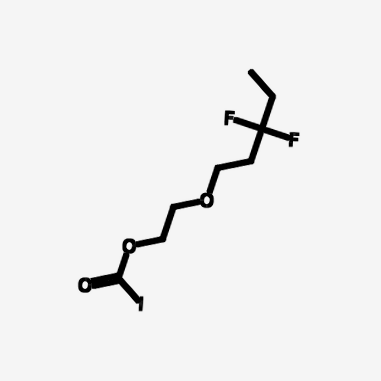 CCC(F)(F)CCOCCOC(=O)I